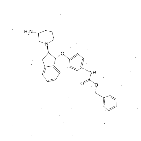 N[C@@H]1CCCN([C@@H]2Cc3ccccc3[C@H]2Oc2ccc(NC(=O)OCc3ccccc3)cc2)C1